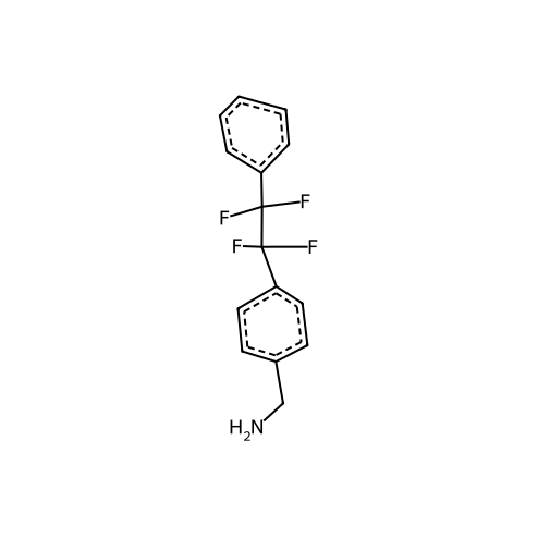 NCc1ccc(C(F)(F)C(F)(F)c2ccccc2)cc1